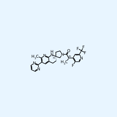 Cc1nc2c(cc1-c1ncccn1)CC[C@@]1(CCN(C(=O)[C@H](C)c3cc(C(F)(F)F)ncc3F)C1)N2